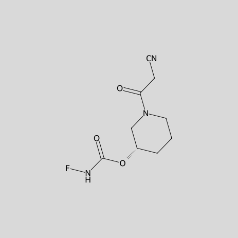 N#CCC(=O)N1CCC[C@H](OC(=O)NF)C1